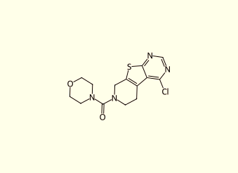 O=C(N1CCOCC1)N1CCc2c(sc3ncnc(Cl)c23)C1